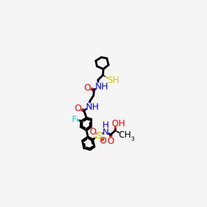 C[C@H](O)C(=O)NS(=O)(=O)c1ccccc1-c1ccc(C(=O)NCCC(=O)NC[C@H](S)C2CCCCC2)c(F)c1